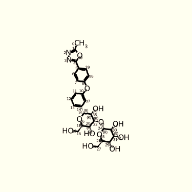 Cc1nnc(-c2ccc(Oc3cccc([C@H]4O[C@H](CO)[C@@H](O)[C@H](O[C@H]5O[C@H](CO)[C@@H](O)[C@H](O)[C@@H]5O)[C@@H]4O)c3)cc2)o1